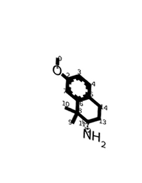 COc1ccc2c(c1)C(C)(C)[C@@H](N)CC2